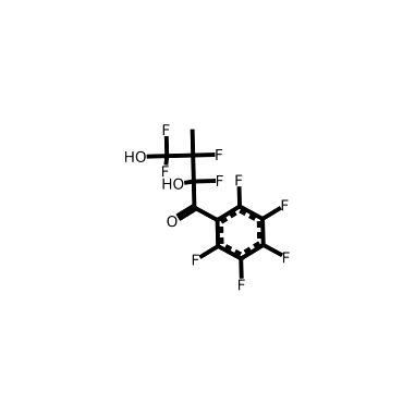 CC(F)(C(O)(F)F)C(O)(F)C(=O)c1c(F)c(F)c(F)c(F)c1F